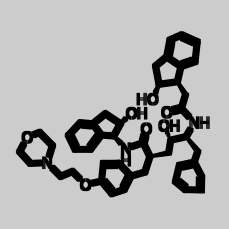 O=C(C[C@@H]1c2ccccc2C[C@@H]1O)N[C@@H](Cc1ccccc1)[C@@H](O)C[C@@H](Cc1ccc(OCCN2CCOCC2)cc1)C(=O)N[C@H]1c2ccccc2C[C@H]1O